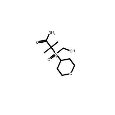 CC(C)(C(N)=O)[SH](=O)(CO)C1CCOCC1